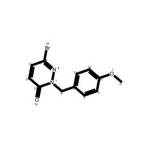 COc1ccc(Cn2nc(Br)ccc2=O)cc1